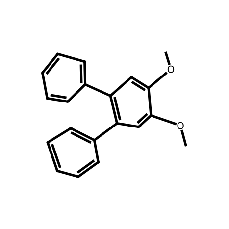 COc1[c]c(-c2ccccc2)c(-c2ccccc2)cc1OC